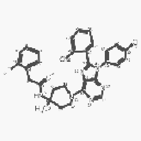 CC1(NC(=O)Cc2ccccc2F)CCN(c2ncnc3c2nc(-c2ccccc2Cl)n3-c2ccc(Cl)cc2)CC1